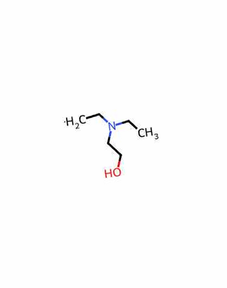 [CH2]CN(CC)CCO